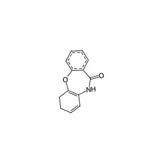 O=C1NC2=C(CCC=C2)Oc2ccccc21